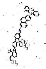 C/C=C\C1=C(CC)N(c2ccc3c(c2)C(C)(C)c2cc(/C=C/c4ccc5c(ccc6cc(N7c8ccccc8Sc8ccccc87)ccc65)c4)ccc2-3)CCC1